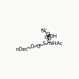 CCCCCCCCCCCCOCCOCCSCC(COP(=O)(O)OCC[N+](C)(C)C)NC(C)=O